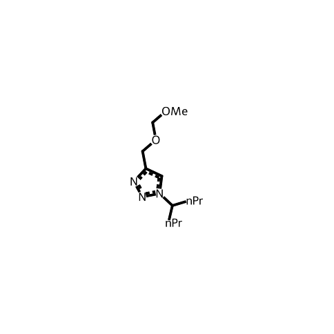 CCCC(CCC)n1cc(COCOC)nn1